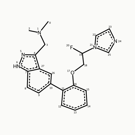 CN(C)Cc1n[nH]c2ccc(-c3ccccc3OCC(F)n3ccnc3)cc12